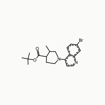 CC1CN(c2ccnc3cc(Br)ccc23)CCC1C(=O)OC(C)(C)C